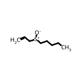 C=CC[S+]([O-])CCCCC